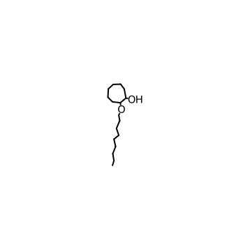 CCCCCCCCCOC1CCCCCCC1O